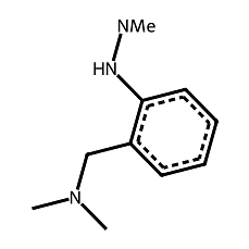 CNNc1ccccc1CN(C)C